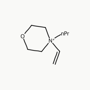 C=C[N+]1(CCC)CCOCC1